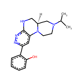 CC(C)N1CCN2c3cc(-c4ccccc4O)nnc3NC[C@H]2C1